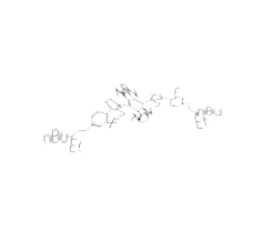 CCCCC(CC)CCc1ccc(-c2ccc(-c3c4c(c(-c5ccc(-c6ccc(CCC(CC)CCCC)cc6F)s5)c5nonc35)N=S=N4)s2)c(F)c1